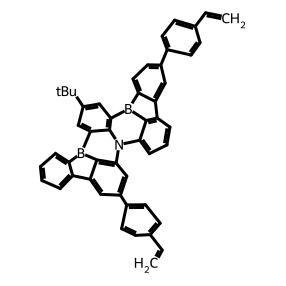 C=Cc1ccc(-c2ccc3c(c2)-c2cccc4c2B3c2cc(C(C)(C)C)cc3c2N4c2cc(-c4ccc(C=C)cc4)cc4c2B3c2ccccc2-4)cc1